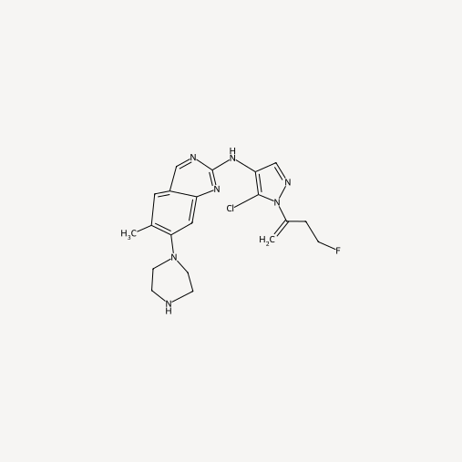 C=C(CCF)n1ncc(Nc2ncc3cc(C)c(N4CCNCC4)cc3n2)c1Cl